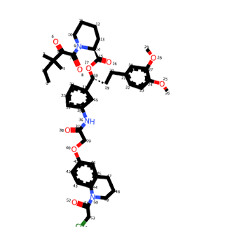 CCC(C)(C)C(=O)C(=O)N1CCCC[C@H]1C(=O)O[C@H](CCc1ccc(OC)c(OC)c1)c1cccc(NC(=O)COc2ccc3c(c2)CCCN3C(=O)CCl)c1